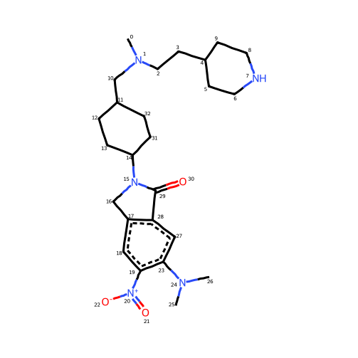 CN(CCC1CCNCC1)CC1CCC(N2Cc3cc([N+](=O)[O-])c(N(C)C)cc3C2=O)CC1